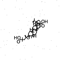 C=C(CC(C)(C)C(=O)O)O[C@H]1CC[C@]2(C)[C@H]3CC[C@@H]4[C@H]5[C@H](C(=C)C)CC[C@]5(C(=O)O)CC[C@@]4(C)[C@]3(C)CC[C@H]2C1(C)C